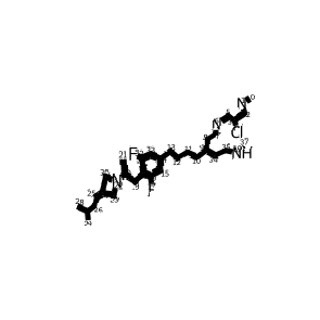 C=N/C=C(Cl)\C=N/CCC(CCCCc1cc(F)c(CC(=C)N2CC(CCC(=C)C)C2)c(F)c1)CCNC